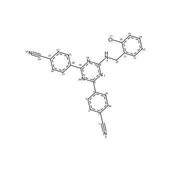 N#Cc1ccc(-c2nc(NCc3ccccc3Cl)nc(-c3ccc(C#N)cc3)n2)cc1